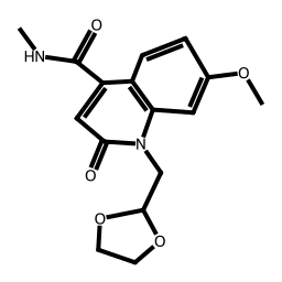 CNC(=O)c1cc(=O)n(CC2OCCO2)c2cc(OC)ccc12